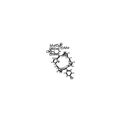 COP(=O)(CCC(CCP(=O)(OC)OC)c1c2nc(cc3ccc([nH]3)c(-c3ccc(Br)cc3)c3nc(cc4ccc1[nH]4)C=C3)C=C2)OC